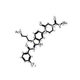 CC(=O)OCCCn1/c(=N\C(=O)c2cccc(C(F)(F)F)c2)[nH]c2cc(N3CCN(C(=O)OC(C)(C)C)CC3=O)ccc21